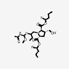 CCCC(F)OC(=O)[C@H]1C[C@@H](CO)[C@H](C(=O)OC(F)CCC)N1CC(CC)OC(NC(C)=O)OC